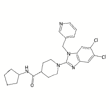 O=C(NC1CCCC1)C1CCN(c2nc3cc(Cl)c(Cl)cc3n2Cc2cccnc2)CC1